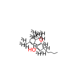 [2H]c1c(O)c2c(c([2H])c1C([2H])([2H])CCCC)OC(C([2H])([2H])[2H])(C([2H])([2H])[2H])[C@@H]1CCC(C([2H])([2H])[2H])=C[C@@H]21